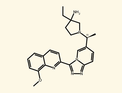 CCC1(N)CCN([C@@H](C)c2ccc3nnc(-c4ccc5cccc(OC)c5n4)n3c2)C1